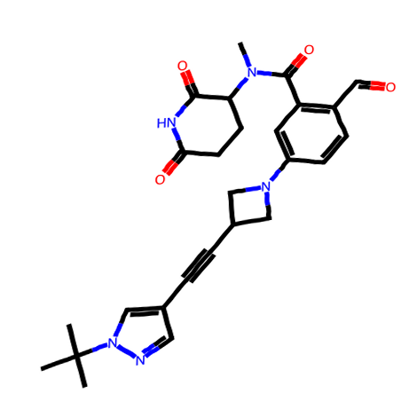 CN(C(=O)c1cc(N2CC(C#Cc3cnn(C(C)(C)C)c3)C2)ccc1C=O)C1CCC(=O)NC1=O